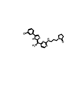 N/C(=C1\NC(c2cccc(Cl)c2)=CS1)c1ccnc(NCCCN2CCCC2=O)n1